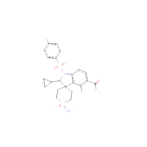 N=S1(=O)CCC2(CC1)c1c(ccc(C(=O)O)c1F)N(S(=O)(=O)c1ccc(F)cc1)C2C1CC1